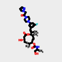 C/C(=C\c1cc(F)cc(N2CCN(C(=O)Cn3cccn3)CC2)c1)[C@@H]1OC(=O)C[C@@H](O)CC[C@H](C)[C@@H](OC(=O)NC(C)CO)/C=C/[C@H]1C